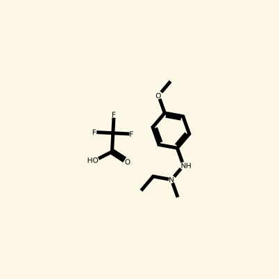 CCN(C)Nc1ccc(OC)cc1.O=C(O)C(F)(F)F